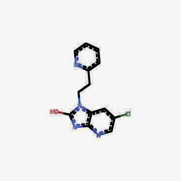 Oc1nc2ncc(Cl)cc2n1CCc1ccccn1